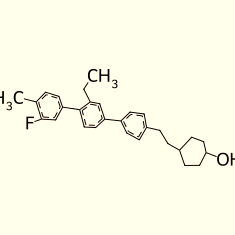 CCc1cc(-c2ccc(CCC3CCC(O)CC3)cc2)ccc1-c1ccc(C)c(F)c1